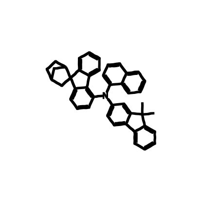 CC1(C)c2ccccc2-c2ccc(N(c3cccc4c3-c3ccccc3C43CC4CCC3C4)c3cccc4ccccc34)cc21